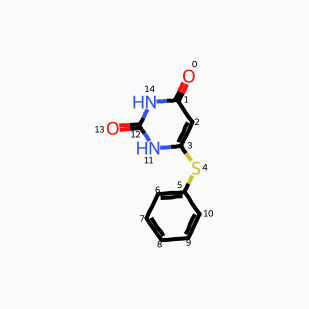 O=c1cc(Sc2ccccc2)[nH]c(=O)[nH]1